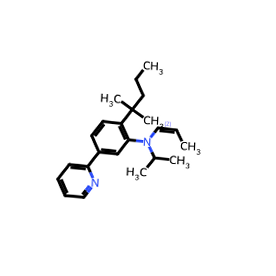 C/C=C\N(c1cc(-c2ccccn2)ccc1C(C)(C)CCC)C(C)C